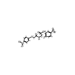 O=C(COc1ccc([N+](=O)[O-])cc1)N[C@@H](Cc1ccc([N+](=O)[O-])cc1)C(=O)O